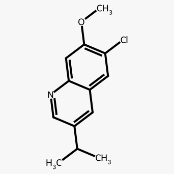 COc1cc2ncc(C(C)C)cc2cc1Cl